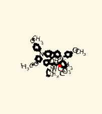 COc1ccc(N(c2ccc(OC)cc2)c2ccc3c(c2)C(O)(c2ccccc2-c2cc(C(C)(C)C)nn2C2CCCCO2)c2cc(N(c4ccc(OC)cc4)c4ccc(OC)cc4)ccc2-3)cc1